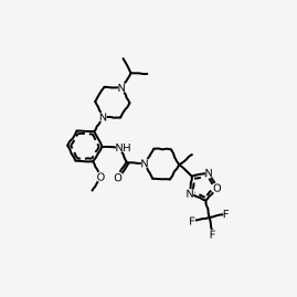 COc1cccc(N2CCN(C(C)C)CC2)c1NC(=O)N1CCC(C)(c2noc(C(F)(F)F)n2)CC1